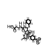 CC(C)CN(C[C@@H](O)[C@H](Cc1ccccc1)NC(=O)NCCC(=O)O)S(=O)(=O)c1ccc([N+](=O)[O-])cc1